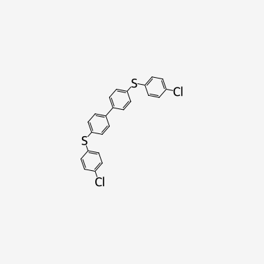 Clc1ccc(Sc2ccc(-c3ccc(Sc4ccc(Cl)cc4)cc3)cc2)cc1